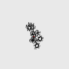 CC1(C)OC2C(n3cnc4c(N)ncnc43)OC(C)(COP(=O)(OCc3ccccc3)OCc3ccccc3)[C@@H]2O1